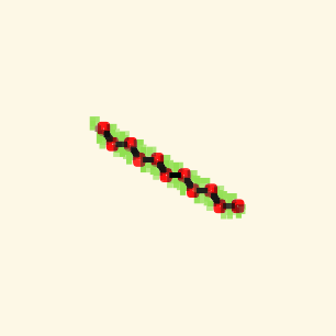 FCOC(F)(F)C(F)(F)OC(F)(F)C(F)(F)OC(F)(F)C(F)(F)OC(F)(F)C(F)(F)OC(F)(F)C(F)(F)OC(F)(F)C(F)(F)OC(F)(F)C(F)(F)OC(F)(F)C(F)(F)OC(F)(F)C(F)(F)OC(F)(F)C(F)(F)OF